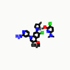 CC1CCN(c2cc3c(cc2Cl)c(=O)c(C(=O)O)cn3-c2ccnc(N)c2)[C@H]1COc1nc(N(C)C)ccc1Cl